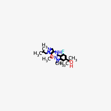 COc1c(Nc2nn(C)c3cc(C(C)(C)O)cc(F)c23)cnn1CC(C)C